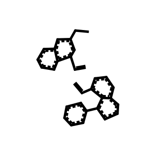 C=Cc1cc(CC)cc2ccccc12.C=Cc1cccc2cccc(-c3ccccc3)c12